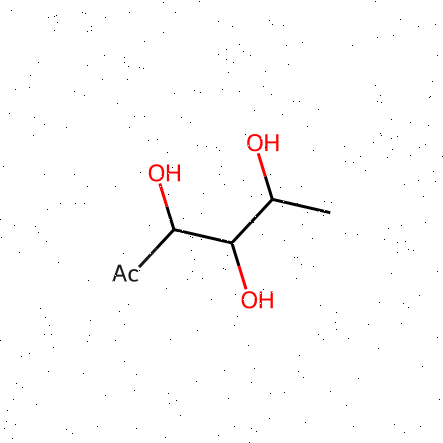 CC(=O)C(O)C(O)C(C)O